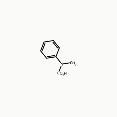 CN(C(=O)O)c1cc[c]cc1